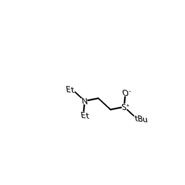 CCN(CC)CC[S+]([O-])C(C)(C)C